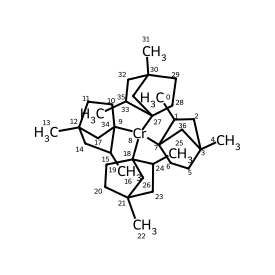 CC1CC2(C)CC[C]1([Cr]([C]13CCC(C)(CC1C)C3)([C]13CCC(C)(CC1C)C3)[C]13CCC(C)(CC1C)C3)C2